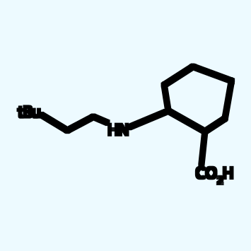 CC(C)(C)CCNC1CCCCC1C(=O)O